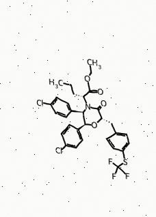 CCC[C@H](C(=O)OCC)N1C(=O)[C@H](Cc2ccc(SC(F)(F)F)cc2)O[C@@H](c2ccc(Cl)cc2)[C@H]1c1ccc(Cl)cc1